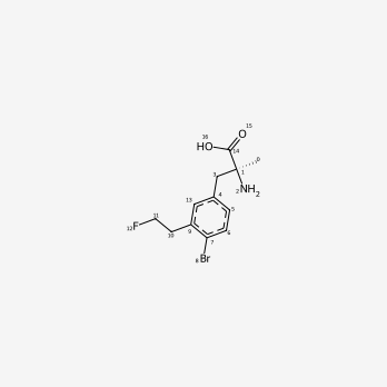 C[C@](N)(Cc1ccc(Br)c(CCF)c1)C(=O)O